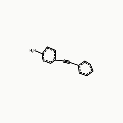 Nc1ccc(C#Cc2ccccc2)cn1